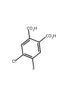 O=C(O)c1cc(F)c(Cl)cc1C(=O)O